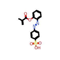 C=C(C)C(=O)Oc1ccccc1N=Nc1ccc(S(=O)(=O)O)cc1